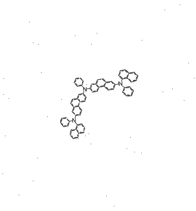 c1ccc(N(c2ccc3c(ccc4cc(N(c5ccccc5)c5cccc6ccccc56)ccc43)c2)c2ccc3c(ccc4cc(N(c5ccccc5)c5cccc6ccccc56)ccc43)c2)cc1